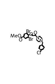 COC(=O)c1cc(Br)c(OCC(=O)N2CCN(Cc3ccc(Cl)cc3)CC2)c(Br)c1